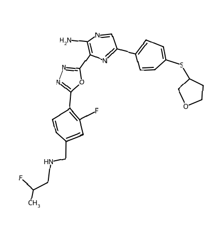 CC(F)CNCc1ccc(-c2nnc(-c3nc(-c4ccc(SC5CCOC5)cc4)cnc3N)o2)c(F)c1